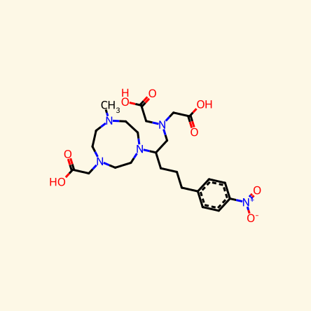 CN1CCN(CC(=O)O)CCN(C(CCCc2ccc([N+](=O)[O-])cc2)CN(CC(=O)O)CC(=O)O)CC1